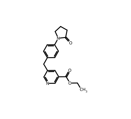 CCOC(=O)c1cncc(Cc2ccc(N3CCCC3=O)cc2)c1